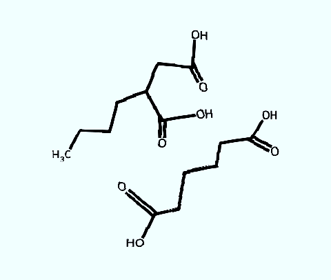 CCCCC(CC(=O)O)C(=O)O.O=C(O)CCCCC(=O)O